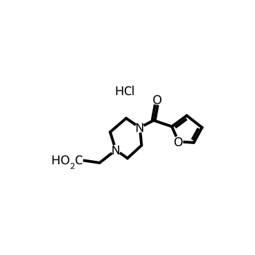 Cl.O=C(O)CN1CCN(C(=O)c2ccco2)CC1